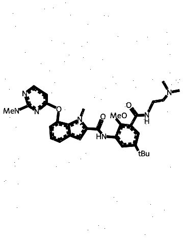 CNc1nccc(Oc2cccc3cc(C(=O)Nc4cc(C(C)(C)C)cc(C(=O)NCCN(C)C)c4OC)n(C)c23)n1